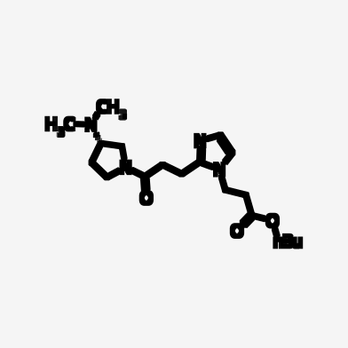 CCCCOC(=O)CCn1ccnc1CCC(=O)N1CC[C@H](N(C)C)C1